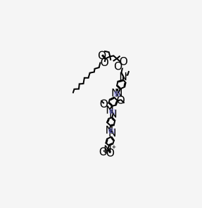 CCCCCCCCCCCCOC(=O)C(C)(CC)CC(C)(C)C(=O)OCCN(CC)c1ccc(/N=N/c2cc(OC)c(/N=N/c3ccc(/N=N/c4ccc([N+](=O)[O-])cc4)cc3)cc2OC)cc1